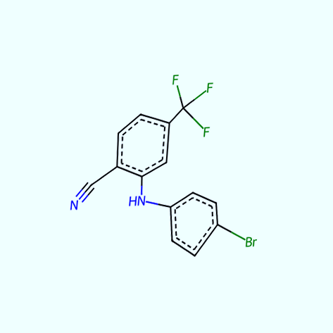 N#Cc1ccc(C(F)(F)F)cc1Nc1ccc(Br)cc1